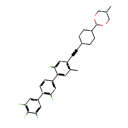 Cc1cc(-c2ccc(-c3cc(F)c(F)c(F)c3)c(F)c2)c(F)cc1C#CC1CCC(C2OCC(C)CO2)CC1